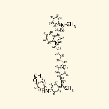 COc1ccc(Nc2ccc(N(C)/N=C/c3cc[n+](CCCCCC[n+]4ccc(/C=N/N(C)c5ccccc5)c5ccccc54)cc3)cc2)cc1